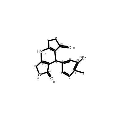 Cc1ccc(C2C3=C(CCC3=O)NC3=C2C(=O)OC3)cc1Br